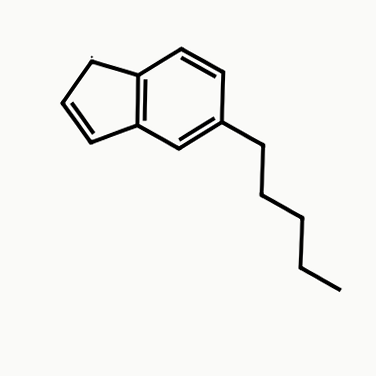 CCCCCc1ccc2c(c1)C=C[CH]2